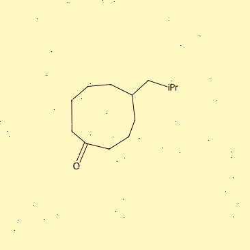 CC(C)CC1CCCCC(=O)CCC1